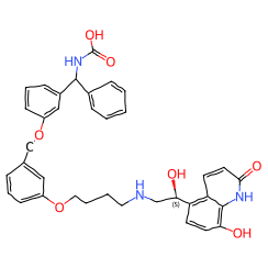 O=C(O)NC(c1ccccc1)c1cccc(OCc2cccc(OCCCCNC[C@@H](O)c3ccc(O)c4[nH]c(=O)ccc34)c2)c1